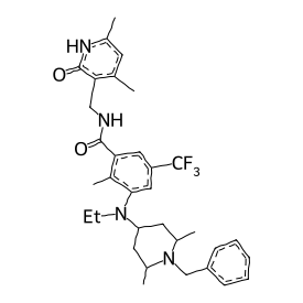 CCN(c1cc(C(F)(F)F)cc(C(=O)NCc2c(C)cc(C)[nH]c2=O)c1C)C1CC(C)N(Cc2ccccc2)C(C)C1